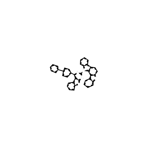 c1ccc(-c2ccc(-c3nc(-n4c5ccccc5c5ccc6sc7ccccc7c6c54)nc4sc5ccccc5c34)cc2)cc1